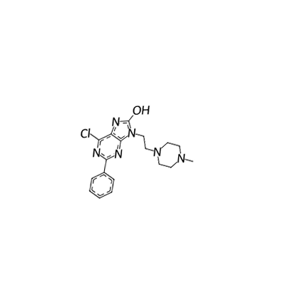 CN1CCN(CCn2c(O)nc3c(Cl)nc(-c4ccccc4)nc32)CC1